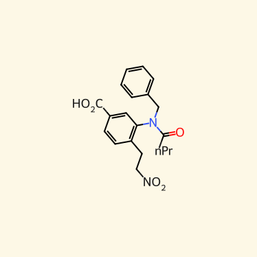 CCCC(=O)N(Cc1ccccc1)c1cc(C(=O)O)ccc1CC[N+](=O)[O-]